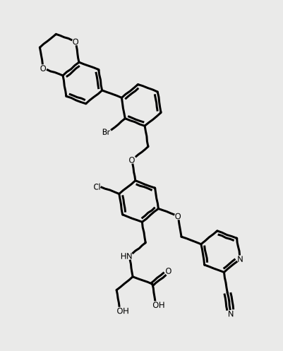 N#Cc1cc(COc2cc(OCc3cccc(-c4ccc5c(c4)OCCO5)c3Br)c(Cl)cc2CNC(CO)C(=O)O)ccn1